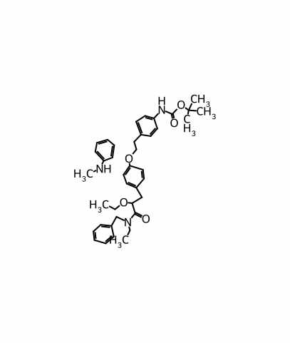 CCOC(Cc1ccc(OCCc2ccc(NC(=O)OC(C)(C)C)cc2)cc1)C(=O)N(CC)Cc1ccccc1.CNc1ccccc1